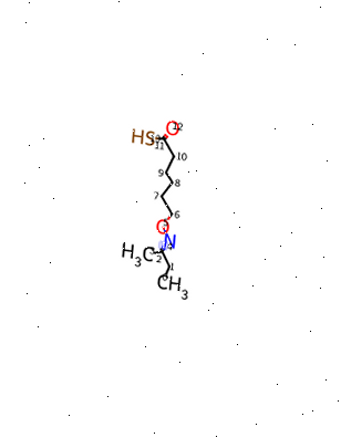 CC/C(C)=N/OCCCCCC(=O)S